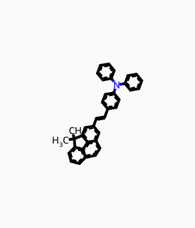 CC1(C)c2cccc3ccc4cc(/C=C/c5ccc(N(c6ccccc6)c6ccccc6)cc5)cc1c4c23